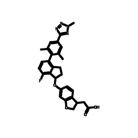 Cc1cc(-c2nnn(C)n2)cc(C)c1-c1ccc(F)c2c1CCC2Oc1ccc2c(c1)OCC2CC(=O)O